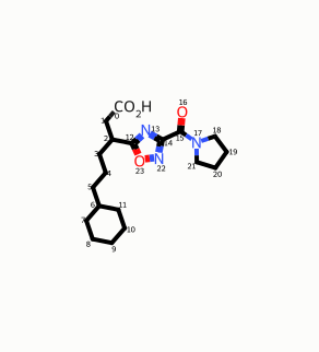 O=C(O)CC(CCCC1CCCCC1)c1nc(C(=O)N2CCCC2)no1